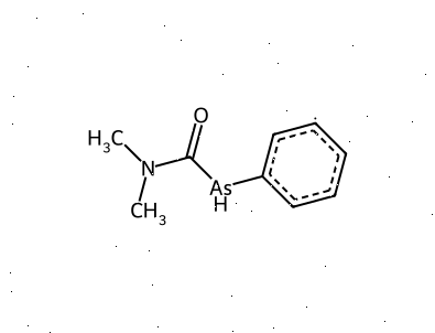 CN(C)C(=O)[AsH]c1c[c]ccc1